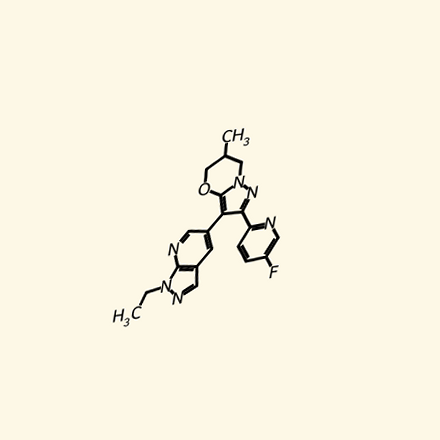 CCn1ncc2cc(-c3c(-c4ccc(F)cn4)nn4c3OCC(C)C4)cnc21